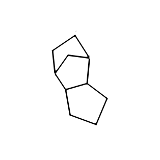 [CH]1CC2C3CCC(C3)C2C1